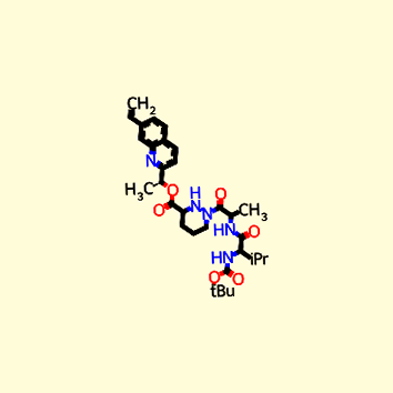 C=Cc1ccc2ccc([C@@H](C)OC(=O)C3CCCN(C(=O)C(C)NC(=O)C(NC(=O)OC(C)(C)C)C(C)C)N3)nc2c1